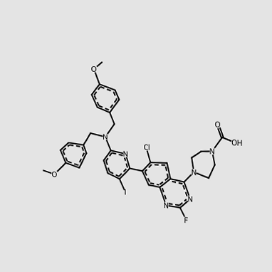 COc1ccc(CN(Cc2ccc(OC)cc2)c2ccc(I)c(-c3cc4nc(F)nc(N5CCN(C(=O)O)CC5)c4cc3Cl)n2)cc1